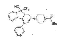 CC(C)(C)C(=O)N1CCN(c2cc(-c3cccnc3)c3c(c2)C(O)(C(F)(F)F)c2ccccc2-3)CC1